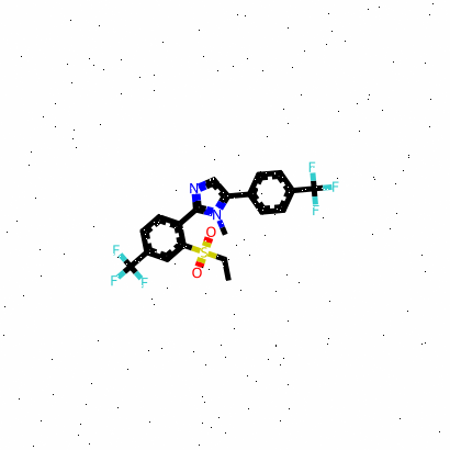 CCS(=O)(=O)c1cc(C(F)(F)F)ccc1-c1ncc(-c2ccc(C(F)(F)F)cc2)n1C